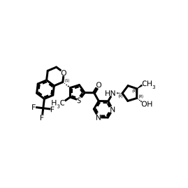 Cc1sc(C(=O)c2cncnc2N[C@@H]2C[C@@H](C)[C@H](O)C2)cc1[C@H]1OCCc2ccc(C(F)(F)F)cc21